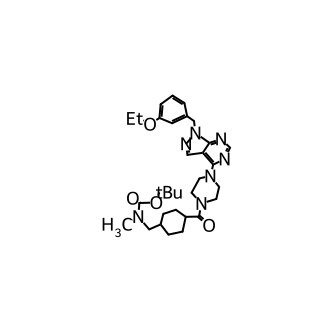 CCOc1cccc(Cn2ncc3c(N4CCN(C(=O)C5CCC(CN(C)C(=O)OC(C)(C)C)CC5)CC4)ncnc32)c1